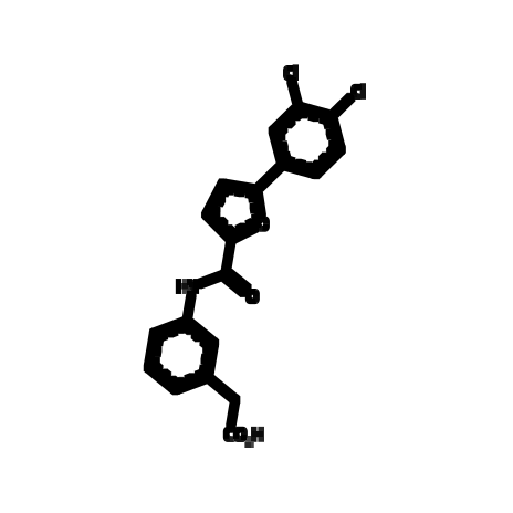 O=C(O)Cc1cccc(NC(=O)c2ccc(-c3ccc(Cl)c(Cl)c3)o2)c1